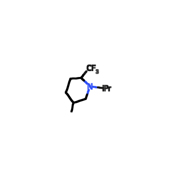 CC1CCC(C(F)(F)F)N(C(C)C)C1